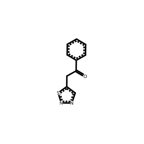 O=C(Cc1cnns1)c1ccccc1